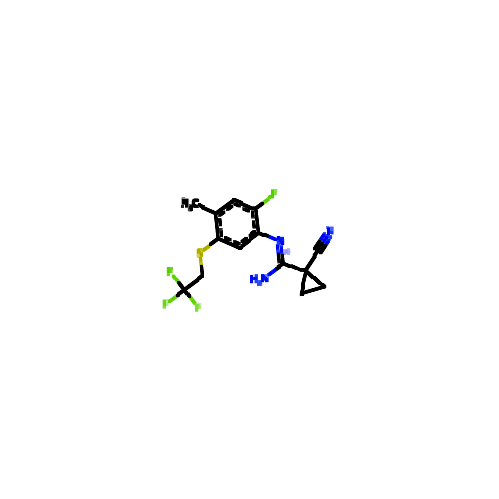 Cc1cc(F)c(/N=C(\N)C2(C#N)CC2)cc1SCC(F)(F)F